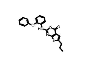 CCCc1cc2c(=O)oc(Nc3ccccc3Oc3ccccc3)nc2s1